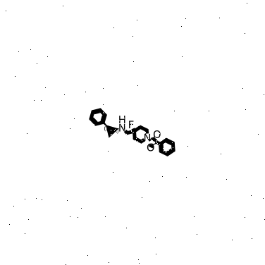 O=S(=O)(c1ccccc1)N1CCC(F)(CN[C@@H]2C[C@H]2c2ccccc2)CC1